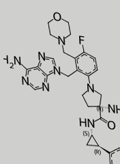 Nc1ncnc2c1ncn2Cc1c(N2CC[C@](N)(C(=O)N[C@H]3C[C@@H]3c3ccccc3)C2)ccc(F)c1CN1CCOCC1